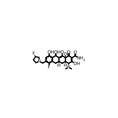 CN(C)[C@@H]1C(O)=C(C(N)=O)C(=O)[C@@]2(O)C(O)=C3C(=O)c4c(O)cc(CN5CC[C@@H](F)C5)c(F)c4C[C@H]3C[C@@H]12